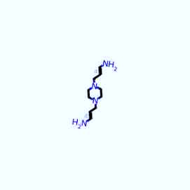 N/C=C/CN1CCN(C/C=C/N)CC1